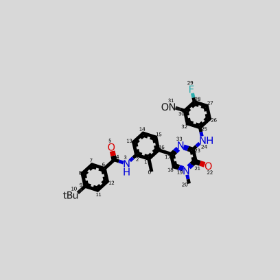 Cc1c(NC(=O)c2ccc(C(C)(C)C)cc2)cccc1-c1cn(C)c(=O)c(Nc2ccc(F)c(N=O)c2)n1